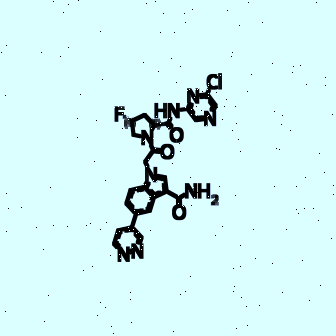 NC(=O)c1cn(CC(=O)N2C[C@H](F)C[C@H]2C(=O)Nc2cncc(Cl)n2)c2ccc(-c3ccnnc3)cc12